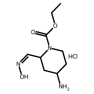 CCOC(=O)N1CCC(N)CC1/C=N\O.Cl